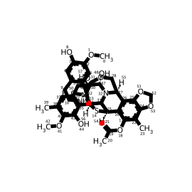 COc1cc2c(cc1O)CCN[C@]21CS[C@@H]2c3c(OC(C)=O)c(C)c4c(c3[C@H](COC1=O)N1C2[C@H]2c3c(cc(C)c(OC)c3O)C[C@H]([C@@H]1O)N2C)OCO4